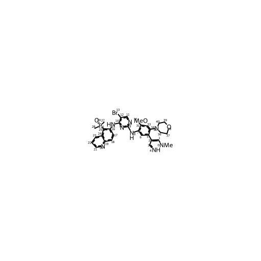 CN/C=C(\C=N)c1cc(Nc2ncc(Br)c(Nc3ccc4ncccc4c3P(C)(C)=O)n2)c(OC)cc1N1CCOCC1